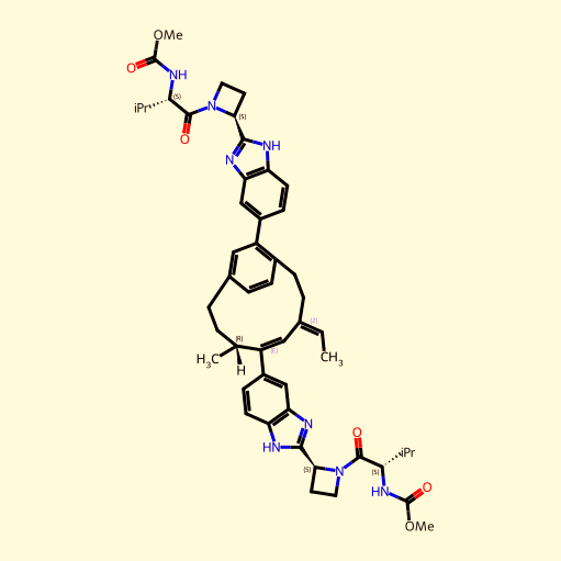 C/C=C1\C=C(\c2ccc3[nH]c([C@@H]4CCN4C(=O)[C@@H](NC(=O)OC)C(C)C)nc3c2)[C@H](C)CCc2ccc(c(-c3ccc4[nH]c([C@@H]5CCN5C(=O)[C@@H](NC(=O)OC)C(C)C)nc4c3)c2)CC1